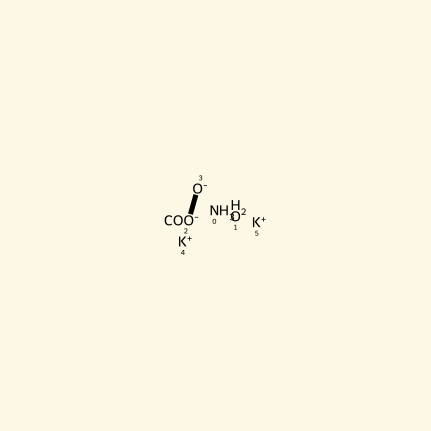 N.O.O=C([O-])[O-].[K+].[K+]